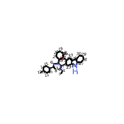 C=C/C(C)=C(/C(=C\C(=C)c1ccc(C)cc1)c1ccccc1)c1cc2[nH]c3ccccc3c2cc1CC